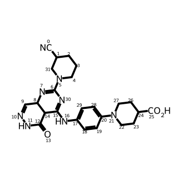 N#CC1CCCN(C2=NC3C=NNC(=O)C3C(Nc3ccc(N4CCC(C(=O)O)CC4)cc3)=N2)C1